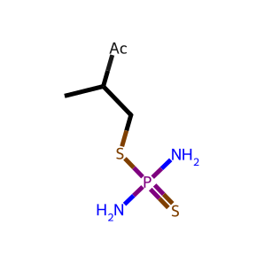 CC(=O)C(C)CSP(N)(N)=S